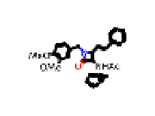 COc1ccc(CN2C(=O)C(NC(C)=O)C2C=Cc2ccccc2)cc1OC.c1cc2cc-2c1